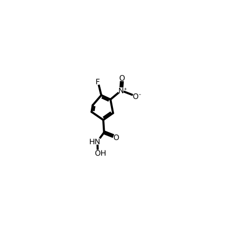 O=C(NO)c1ccc(F)c([N+](=O)[O-])c1